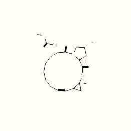 [3H]O[C@@H]1C[C@H]2C(=O)N[C@]3(C(=O)OCC)C[C@H]3/C=C\CCCCC[C@H](NC(=O)OC(C)(C)C)C(=O)N2C1